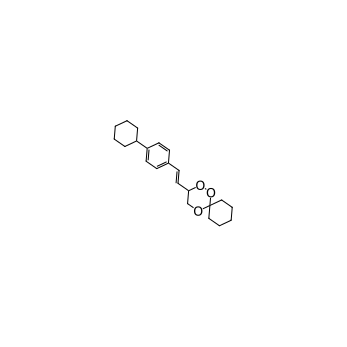 C(=CC1COC2(CCCCC2)OO1)c1ccc(C2CCCCC2)cc1